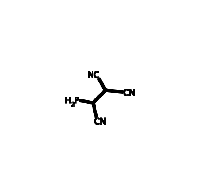 N#CC(P)C(C#N)C#N